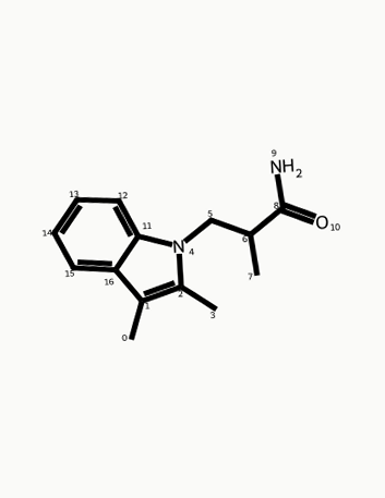 Cc1c(C)n(CC(C)C(N)=O)c2ccccc12